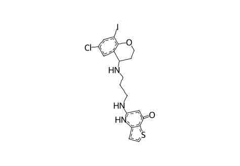 O=c1cc(NCCCNC2CCOc3c(I)cc(Cl)cc32)[nH]c2ccsc12